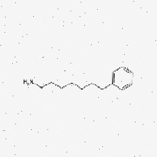 N[CH]CCCCCCc1ccccc1